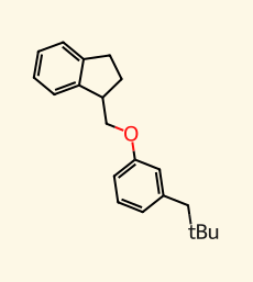 CC(C)(C)Cc1cccc(OCC2CCc3ccccc32)c1